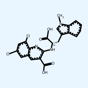 Cn1cc(C[C@H](Nc2nc3c(Cl)cc(Cl)cc3cc2C(=O)O)C(=O)O)c2ccccc21